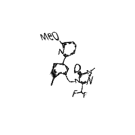 COc1cccc(-c2ccc(C)c(Cn3c(C(F)F)nn(C)c3=O)c2)n1